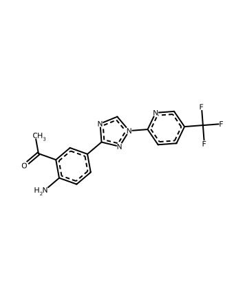 CC(=O)c1cc(-c2ncn(-c3ccc(C(F)(F)F)cn3)n2)ccc1N